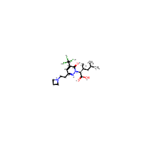 CC(C)CC([SiH3])[C@@H](C(=O)O)n1nc(CCN2CCC2)cc(C(F)(F)F)c1=O